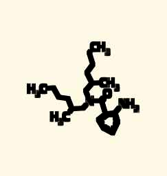 CCCCC(C)CN(CC(C)CCCC)C(=O)c1ccccc1N